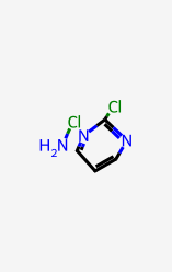 Clc1ncccn1.NCl